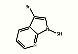 Sn1cc(Br)c2cccnc21